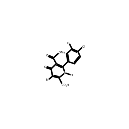 CCn1c(C(=O)O)c(Br)c(=O)c(C(=O)OC)c1-c1ccc(Cl)c(Cl)c1